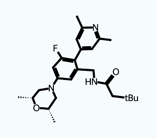 Cc1cc(-c2c(F)cc(N3C[C@@H](C)O[C@@H](C)C3)cc2CNC(=O)CC(C)(C)C)cc(C)n1